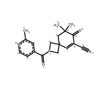 Cc1cc(C(=O)N2CC3(C=C(C#N)C(=O)C(C)(C)C3)C2)ccn1